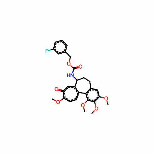 COc1cc2c(c(OC)c1OC)-c1ccc(OC)c(=O)cc1C(NC(=O)OCc1cccc(F)c1)CC2